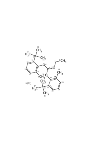 CCOP(Oc1c(C)cccc1C(C)(C)C)Oc1c(C)cccc1C(C)(C)C.[Pt]